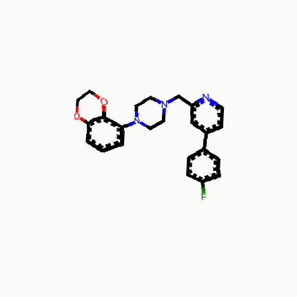 Fc1ccc(-c2ccnc(CN3CCN(c4cccc5c4OCCO5)CC3)c2)cc1